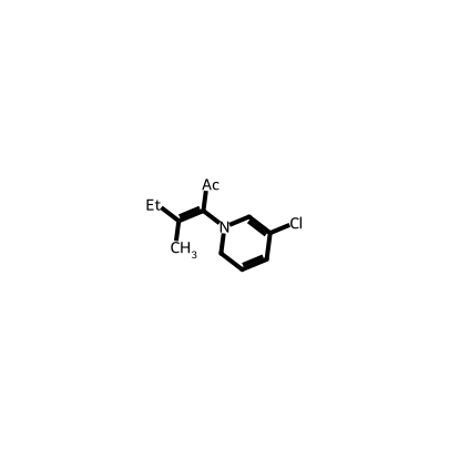 CC/C(C)=C(\C(C)=O)N1C=C(Cl)C=CC1